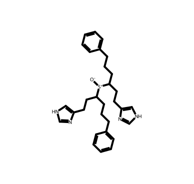 [O-][S+](C(CCCc1ccccc1)CCc1c[nH]cn1)C(CCCc1ccccc1)CCc1c[nH]cn1